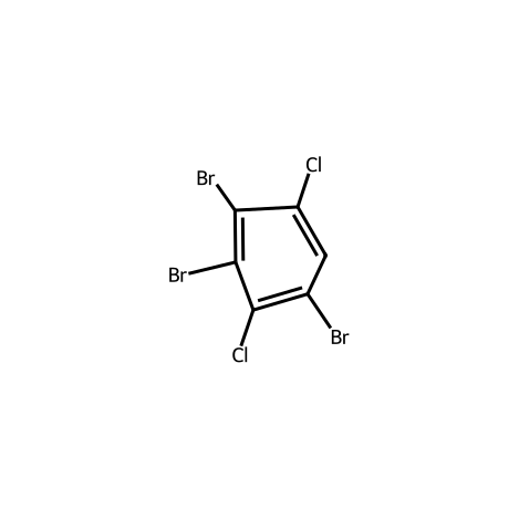 Clc1cc(Br)c(Cl)c(Br)c1Br